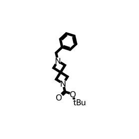 CC(C)(C)OC(=O)N1CC2(CN(Cc3ccccc3)C2)C1